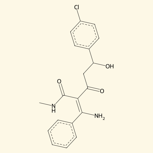 CNC(=O)C(C(=O)CC(O)c1ccc(Cl)cc1)=C(N)c1ccccc1